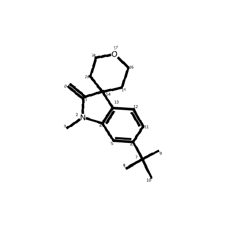 C=C1N(C)c2cc(C(C)(C)C)ccc2C12CCOCC2